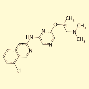 C[C@H](CN(C)C)Oc1cncc(Nc2cc3cccc(Cl)c3cn2)n1